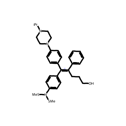 CSN(SC)c1ccc(/C(=C(\CCCO)c2ccccc2)c2ccc(N3CCN(C(C)C)CC3)cc2)cc1